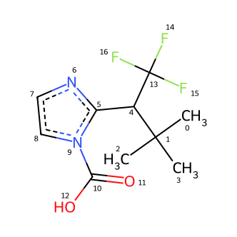 CC(C)(C)C(c1nccn1C(=O)O)C(F)(F)F